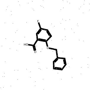 O=C(O)c1cc(F)ccc1OCc1ccccc1